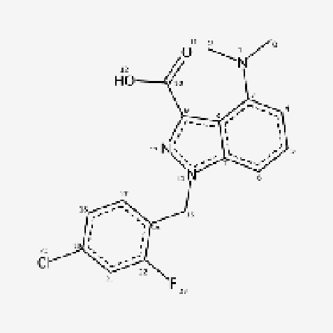 CN(C)c1cccc2c1c(C(=O)O)nn2Cc1ccc(Cl)cc1F